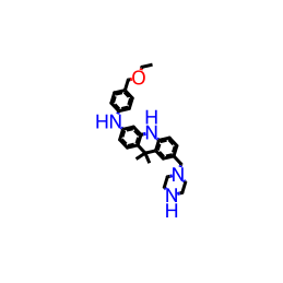 CCOCc1ccc(Nc2ccc3c(c2)Nc2ccc(CN4CCNCC4)cc2C3(C)C)cc1